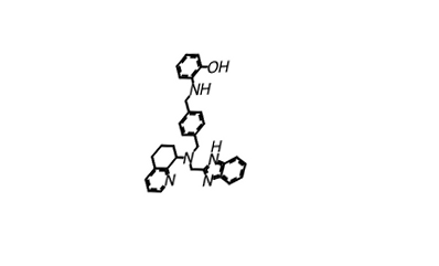 Oc1ccccc1NCc1ccc(CN(Cc2nc3ccccc3[nH]2)C2CCCc3cccnc32)cc1